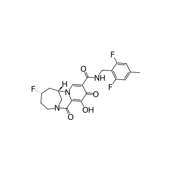 Cc1cc(F)c(CNC(=O)c2cn3c(c(O)c2=O)C(=O)N2CC[C@H](F)C[C@H]3C2)c(F)c1